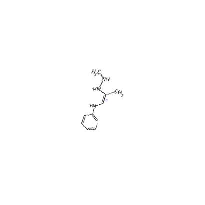 CNN/C(C)=C\Nc1ccccc1